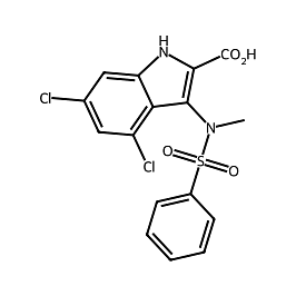 CN(c1c(C(=O)O)[nH]c2cc(Cl)cc(Cl)c12)S(=O)(=O)c1ccccc1